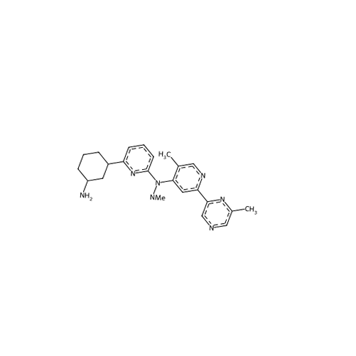 CNN(c1cccc(C2CCCC(N)C2)n1)c1cc(-c2cncc(C)n2)ncc1C